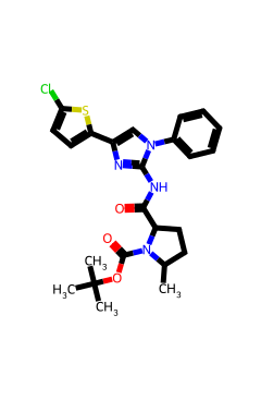 CC1CCC(C(=O)Nc2nc(-c3ccc(Cl)s3)cn2-c2ccccc2)N1C(=O)OC(C)(C)C